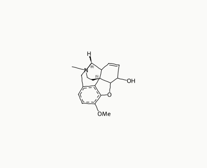 COc1ccc2c3c1OC1C(O)C=CC4[C@@H](C2)N(C)CC[C@]314